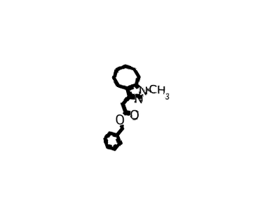 Cn1nc(CC(=O)OCc2ccccc2)c2c1CCCCCC2